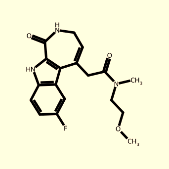 COCCN(C)C(=O)CC1=CCNC(=O)c2[nH]c3ccc(F)cc3c21